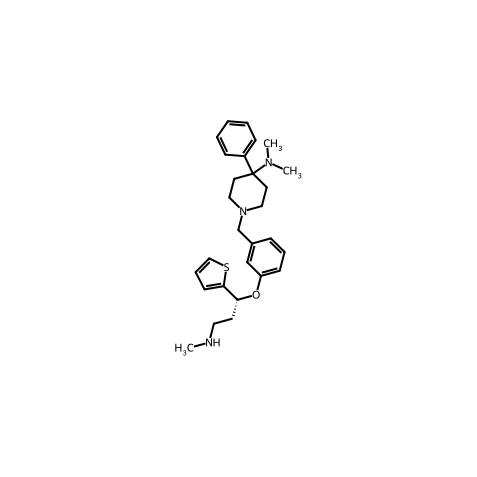 CNCC[C@@H](Oc1cccc(CN2CCC(c3ccccc3)(N(C)C)CC2)c1)c1cccs1